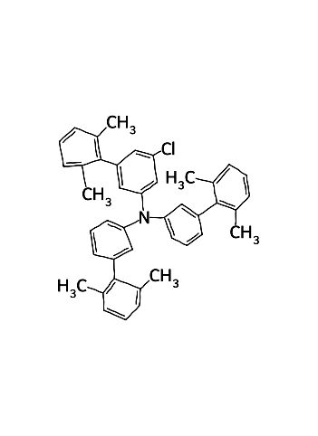 Cc1cccc(C)c1-c1cccc(N(c2cccc(-c3c(C)cccc3C)c2)c2cc(Cl)cc(-c3c(C)cccc3C)c2)c1